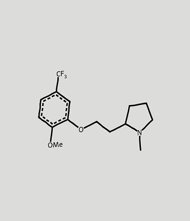 COc1ccc(C(F)(F)F)cc1OCCC1CCCN1C